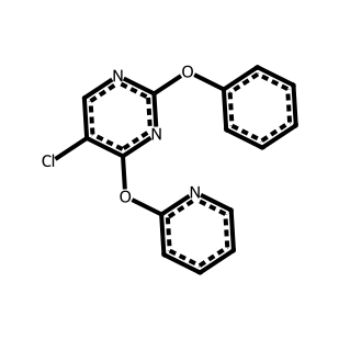 Clc1cnc(Oc2ccccc2)nc1Oc1ccccn1